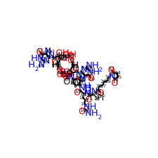 COC(=O)N(c1ccc(NC(=O)[C@H](CCCNC(N)=O)NC(=O)[C@@H](NC(=O)CCCCCN2C(=O)C=CC2=O)C(C)C)cc1)[C@H]1[C@H]2OP(=O)(O)OC[C@H]3O[C@@H](n4cnc5c(=O)[nH]c(N)nc54)[C@@H](O)[C@@H]3OP(=O)(O)OC[C@H]2O[C@H]1n1cnc2c(=O)[nH]c(N)nc21